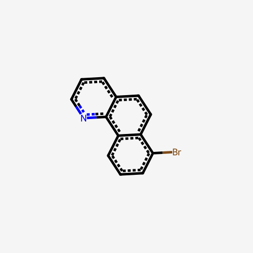 Brc1cccc2c1ccc1cccnc12